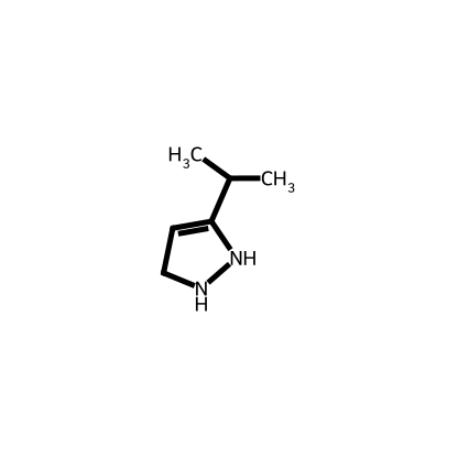 CC(C)C1=CCNN1